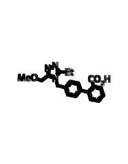 CCc1nnc(COC)n1Cc1ccc(-c2ccccc2C(=O)O)cc1